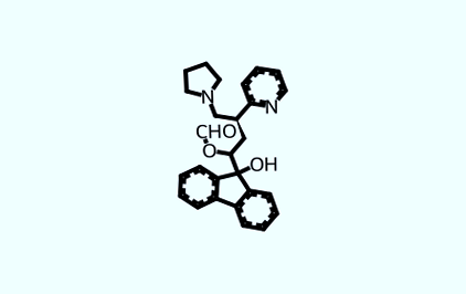 O=COC(C[C@@H](CN1CCCC1)c1ccccn1)C1(O)c2ccccc2-c2ccccc21